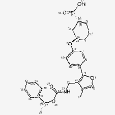 Cc1noc(-c2ccc(O[C@@H]3CCC[C@@H](C(=O)O)C3)cc2)c1CNC(=O)O[C@H](C)c1ccccc1